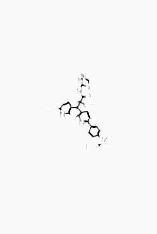 Cc1ccc2c(n1)Oc1nc(-c3ccc([S+](C)[O-])cc3)ccc1C2C(C)(C)C(=O)Nc1nncs1